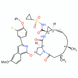 COc1ccc2c(O[C@@H]3C[C@H]4C(=O)N[C@]5(C(=O)NS(=O)(=O)C6CC6)C[C@H]5/C=C\CC[C@@H](C)C[C@@H](C)CC(=O)N4C3)nc(-c3ccc(OC(C)C)c(F)c3)cc2c1